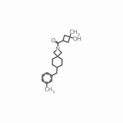 Cc1cccc(CC2CCC3(CC2)CN(C(=O)C2CC(C)(O)C2)C3)c1